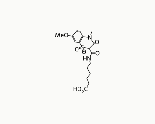 COc1ccc2c(c1)S(=O)(=O)C(C(=O)NCCCCCC(=O)O)C(=O)N2C